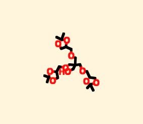 CC1(C)OCC(COCC(CO)(COCC2COC(C)(C)O2)COCC2COC(C)(C)O2)O1